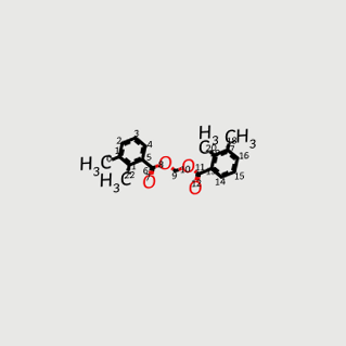 Cc1cccc(C(=O)OCOC(=O)c2cccc(C)c2C)c1C